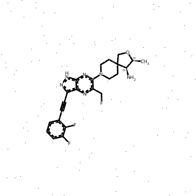 C[C@@H]1OCC2(CCN(c3nc4[nH]nc(C#Cc5cccc(F)c5F)c4nc3CF)CC2)[C@@H]1N